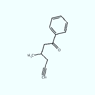 C#CCC(C)CC(=O)c1ccccc1